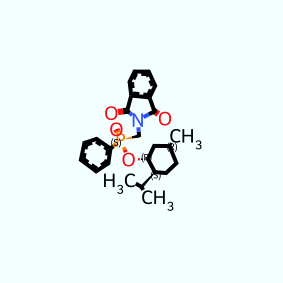 CC(C)[C@@H]1CC[C@@H](C)C[C@H]1O[P@](=O)(CN1C(=O)c2ccccc2C1=O)c1ccccc1